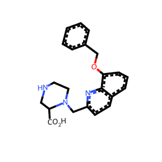 O=C(O)C1CNCCN1Cc1ccc2cccc(OCc3ccccc3)c2n1